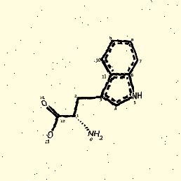 N[C@@H](Cc1c[nH]c2ccccc12)C([O])=O